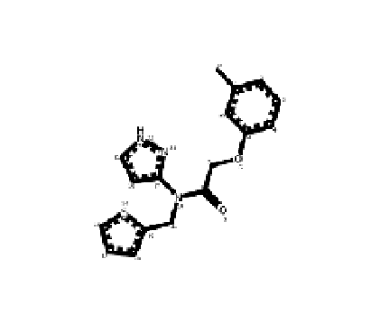 Cc1cccc(OCC(=O)N(Cc2cccs2)c2cc[nH]n2)c1